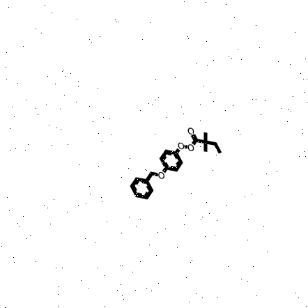 CCC(C)(C)C(=O)OOc1ccc(OCc2ccccc2)cc1